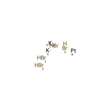 Br.Br.Br.Br.[K].[K].[Pt]